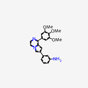 COc1cc(-c2nccn3cc(-c4cccc(N)c4)cc23)cc(OC)c1OC